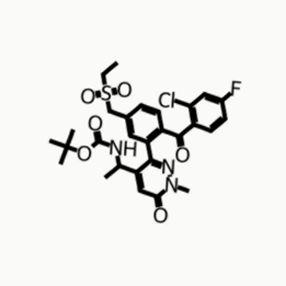 CCS(=O)(=O)Cc1ccc(C(=O)c2ccc(F)cc2Cl)c(-c2nn(C)c(=O)cc2C(C)NC(=O)OC(C)(C)C)c1